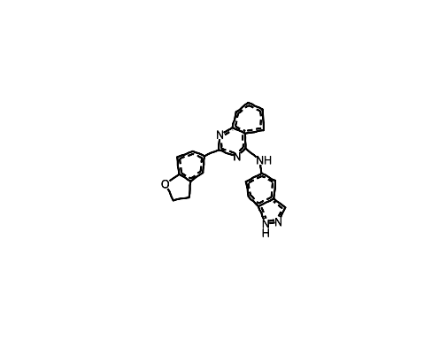 c1ccc2c(Nc3ccc4[nH]ncc4c3)nc(-c3ccc4c(c3)CCO4)nc2c1